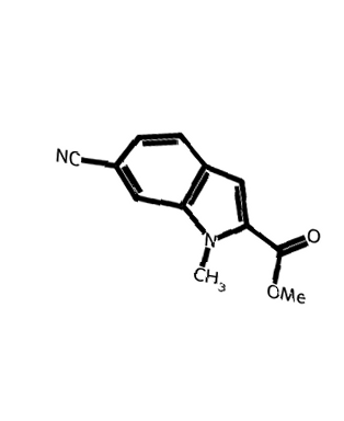 COC(=O)c1cc2ccc(C#N)cc2n1C